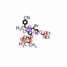 CCOC(COc1cc(C(C(=O)N2C[C@H](OC(=O)OC(C)C(C)SS(C)(=O)=O)C[C@H]2C(=O)NC(C)c2ccc(C#N)cc2)C(C)C)on1)OCC